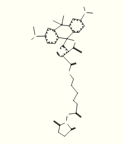 CN(C)c1ccc2c(c1)C(C)(C)c1cc(N(C)C)ccc1C21OC(=O)c2c(C(=O)NCCCCCC(=O)ON3C(=O)CCC3=O)cccc21